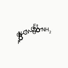 CCC(=O)c1cc(CN)ccc1OCCCN1CCC(c2noc3cc(F)ccc23)CC1